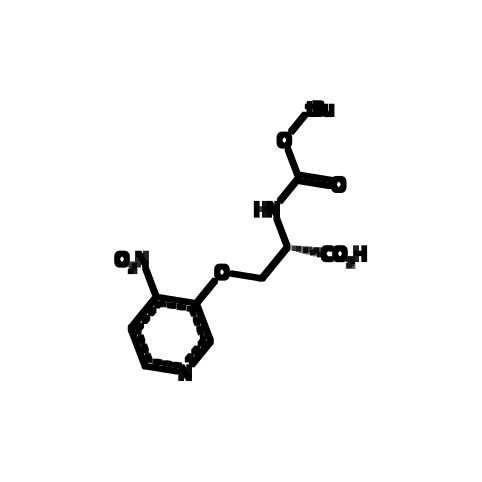 CC(C)(C)OC(=O)N[C@@H](COc1cnccc1[N+](=O)[O-])C(=O)O